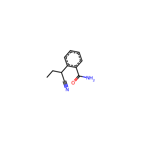 CCC(C#N)c1ccccc1C(N)=O